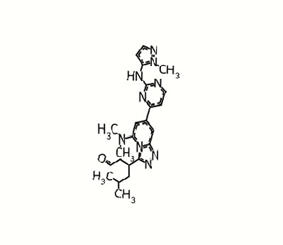 CC(C)CC(CC=O)c1nnc2cc(-c3ccnc(Nc4ccnn4C)n3)cc(N(C)C)n12